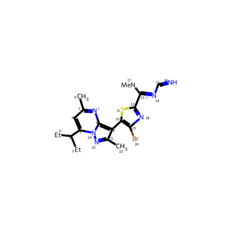 CCC(CC)c1cc(C)nc2c(-c3sc(/C(=N/C=N)NC)nc3Br)c(C)nn12